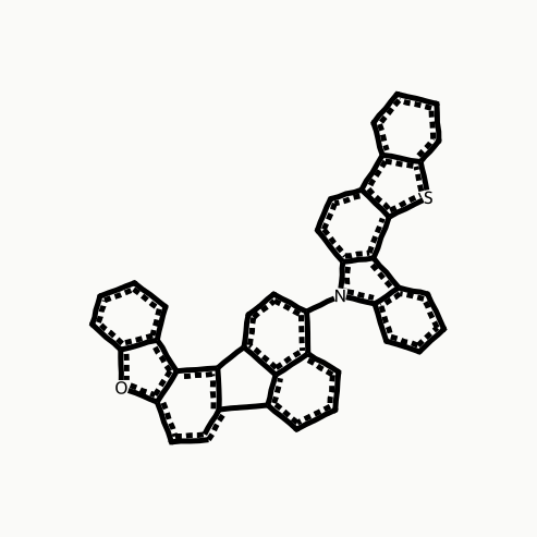 c1ccc2c(c1)oc1ccc3c(c12)-c1ccc(-n2c4ccccc4c4c5sc6ccccc6c5ccc42)c2cccc-3c12